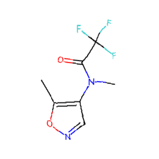 Cc1oncc1N(C)C(=O)C(F)(F)F